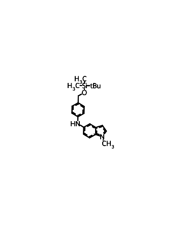 Cn1ccc2cc(Nc3ccc(CO[Si](C)(C)C(C)(C)C)cc3)ccc21